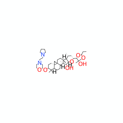 CCC(=O)O[C@@H]([C@H]1C[C@@H](C)[C@H]2[C@H](O1)[C@H](O)[C@@]1(C)[C@@H]3CC[C@H]4C(C)(C)[C@@H](O[C@H]5CN(CCN6CCCC6)CCO5)CC[C@@]45C[C@@]35CC[C@]21C)C(C)(C)O